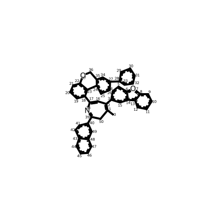 CC1=C(c2ccc3oc4ccccc4c3c2)C=C(c2cccc3c2-c2ccc(-c4ccccc4)cc2CO3)N=C(c2ccc3ccccc3c2)C1